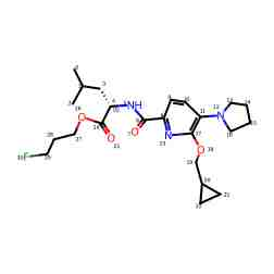 CC(C)C[C@H](NC(=O)c1ccc(N2CCCC2)c(OCC2CC2)n1)C(=O)OCCCF